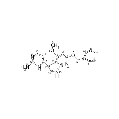 COc1cc(OCc2ccccc2)nc2[nH]cc(-c3ccnc(N)n3)c12